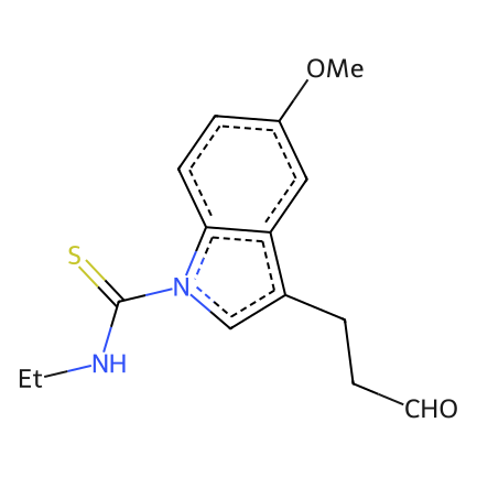 CCNC(=S)n1cc(CCC=O)c2cc(OC)ccc21